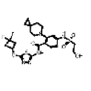 O=C(Nc1nnc(OC2CC(F)(F)C2)s1)c1ccc(NS(=O)(=O)CCO)cc1N1CCC2(CC1)CC2